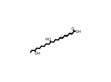 CCC(O)CCCCCCC(O)CCC/C=C/C=C/C=C/C(=O)O